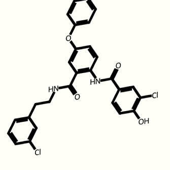 O=C(Nc1ccc(Oc2ccccc2)cc1C(=O)NCCc1cccc(Cl)c1)c1ccc(O)c(Cl)c1